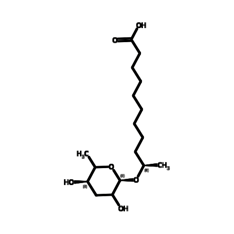 CC1O[C@@H](O[C@H](C)CCCCCCCCC(=O)O)C(O)C[C@H]1O